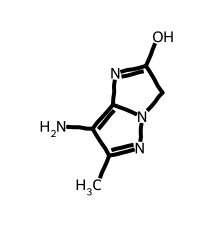 Cc1nn2c(c1N)N=C(O)C2